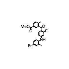 COC(=O)c1ccc(C)c(C(=O)c2ccc(Nc3ccc(Br)cc3C)cc2Cl)c1